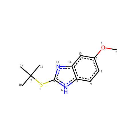 COc1ccc2[nH]c(SC(C)(C)C)nc2c1